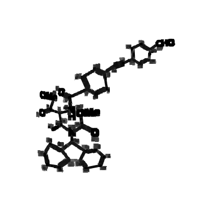 COC(=O)C(NC(=O)c1ccc(C#Cc2ccc(C=O)cc2)cc1)[C@H](C)N(C(=O)OC)C1c2ccccc2-c2ccccc21